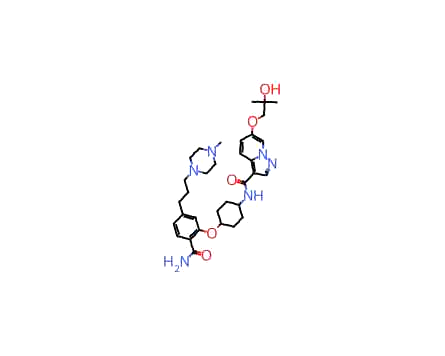 CN1CCN(CCCc2ccc(C(N)=O)c(OC3CCC(NC(=O)c4cnn5cc(OCC(C)(C)O)ccc45)CC3)c2)CC1